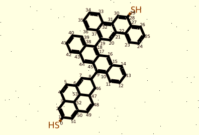 SC1=CC2C=CC3=CC(c4c5ccccc5cc5c(-c6cc7c8ccccc8c(S)cc7c7ccccc67)c6ccccc6cc45)CC4C=CC(=C1)C2C34